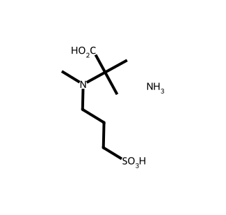 CN(CCCS(=O)(=O)O)C(C)(C)C(=O)O.N